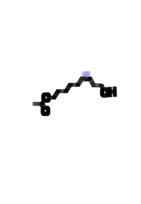 CC(=O)OCCCCC/C=C\CCO